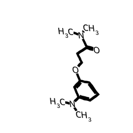 CN(C)C(=O)CCOc1cccc(N(C)C)c1